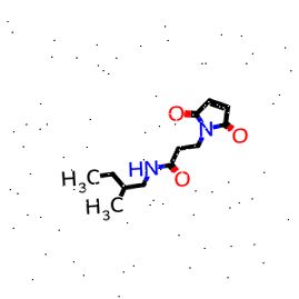 CCC(C)CNC(=O)CCN1C(=O)C=CC1=O